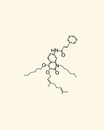 CCCCCCOc1c(OCC=C(C)CCC=C(C)C)c(=O)n(CCCCCC)c2cc(NC(=O)C=Cc3ccccc3)ccc12